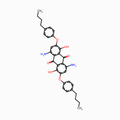 CCCCc1ccc(Oc2cc(N)c3c(c2O)C(=O)c2c(N)cc(Oc4ccc(CCCC)cc4)c(O)c2C3=O)cc1